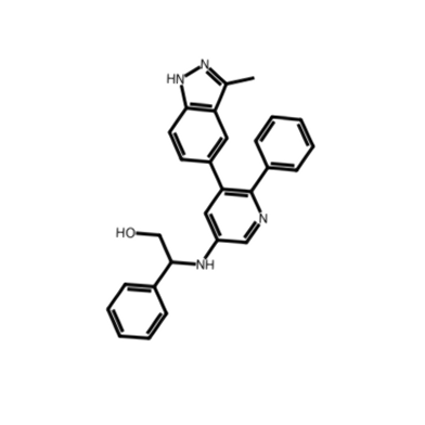 Cc1n[nH]c2ccc(-c3cc(NC(CO)c4ccccc4)cnc3-c3ccccc3)cc12